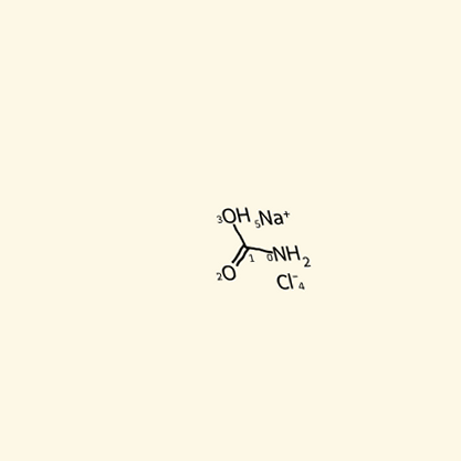 NC(=O)O.[Cl-].[Na+]